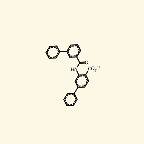 O=C(Nc1cc(-c2ccccc2)ccc1C(=O)O)c1cccc(-c2ccccc2)c1